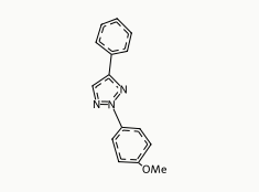 COc1ccc(-n2ncc(-c3ccccc3)n2)cc1